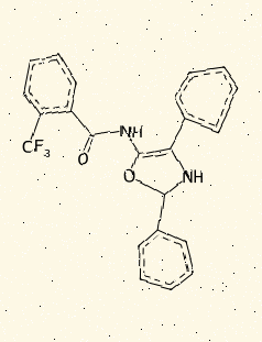 O=C(NC1=C(c2ccccc2)NC(c2ccccc2)O1)c1ccccc1C(F)(F)F